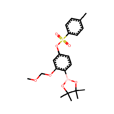 COCOc1cc(OS(=O)(=O)c2ccc(C)cc2)ccc1B1OC(C)(C)C(C)(C)O1